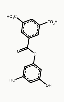 O=C(O)c1cc(C(=O)O)cc(C(=O)Oc2cc(O)cc(O)c2)c1